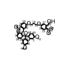 COc1ccc(C(OCc2cc(OCCCOc3ccc([N+](=O)[O-])c(CO)c3)ccc2[N+](=O)[O-])(c2ccccc2)c2ccc(OC)cc2)cc1